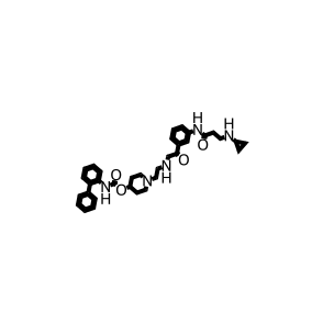 O=C(CCNC1CC1)Nc1cccc(C(=O)CNCCN2CCC(OC(=O)Nc3ccccc3-c3ccccc3)CC2)c1